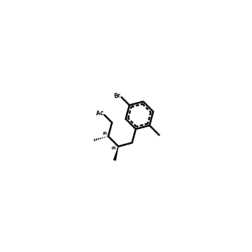 CC(=O)C[C@@H](C)[C@H](C)Cc1cc(Br)ccc1C